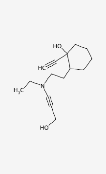 C#CC1(O)CCCCC1CCN(C#CCO)CC